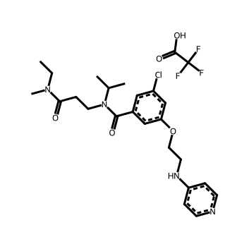 CCN(C)C(=O)CCN(C(=O)c1cc(Cl)cc(OCCNc2ccncc2)c1)C(C)C.O=C(O)C(F)(F)F